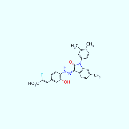 Cc1ccc(N2C(=O)/C(=N\Nc3ccc(/C=C(\F)C(=O)O)cc3O)c3ccc(C(F)(F)F)cc32)cc1C